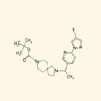 CC(c1ccc(-n2cc(F)cn2)nc1)N1CCC2(CCN(C(=O)OC(C)(C)C)CC2)C1